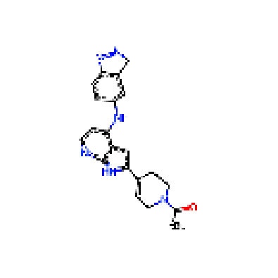 CC(C)(C)C(=O)N1CC=C(c2cc3c(Nc4ccc5c(c4)CN=N5)ccnc3[nH]2)CC1